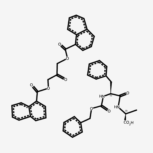 C[C@H](NC(=O)[C@H](Cc1ccccc1)NC(=O)OCc1ccccc1)C(=O)O.O=C(COC(=O)c1cccc2ccccc12)COC(=O)c1cccc2ccccc12